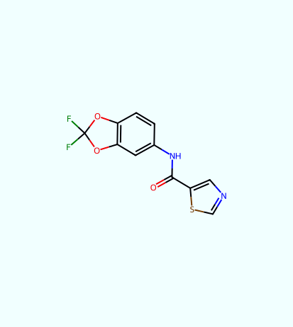 O=C(Nc1ccc2c(c1)OC(F)(F)O2)c1cncs1